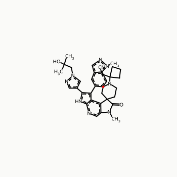 CN1C(=O)C2(CCN(C3(CC#N)CCC3)CC2)c2c1cnc1[nH]c(-c3cnn(CC(C)(C)O)c3)c(-c3ccc4c(cnn4C)c3)c21